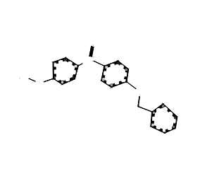 CCCOc1cc[c]([Co](=[O])[c]2ccc(OCc3ccccc3)cc2)cc1